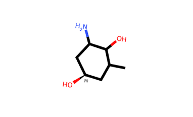 CC1C[C@@H](O)CC(N)C1O